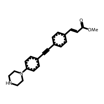 COC(=O)C=Cc1ccc(C#Cc2ccc(N3CCNCC3)cc2)cc1